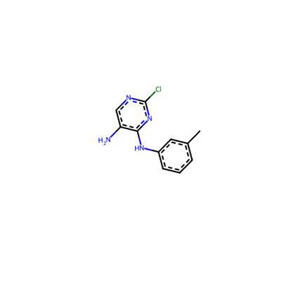 Cc1cccc(Nc2nc(Cl)ncc2N)c1